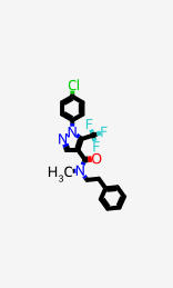 CN(CCc1ccccc1)C(=O)c1cnn(-c2ccc(Cl)cc2)c1C(F)(F)F